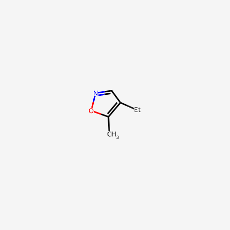 CCc1cnoc1C